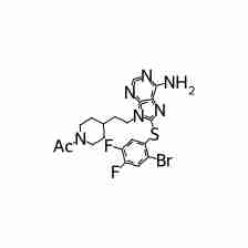 CC(=O)N1CCC(CCn2c(Sc3cc(F)c(F)cc3Br)nc3c(N)ncnc32)CC1